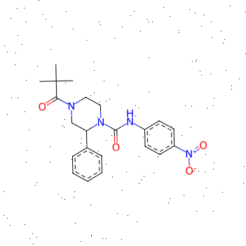 CC(C)(C)C(=O)N1CCN(C(=O)Nc2ccc([N+](=O)[O-])cc2)C(c2ccccc2)C1